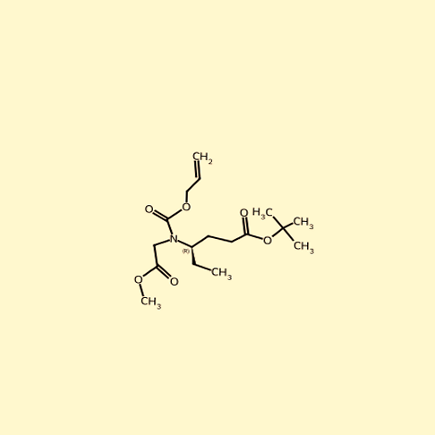 C=CCOC(=O)N(CC(=O)OC)[C@H](CC)CCC(=O)OC(C)(C)C